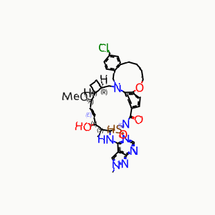 CO[C@H]1/C=C/[C@H](O)[C@H](C)C(Nc2ncnc3nn(C)cc23)/[SH](=O)=N\C(=O)c2ccc3c(c2)N(Cc2ccc(Cl)cc2CCCCO3)C[C@@H]2CC[C@H]21